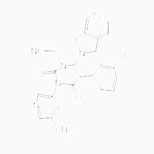 Cc1cncc(-n2c(=O)c(-c3cccc(Cl)c3)c(N3Cc4ccccc4C3)n(CC#N)c2=O)c1